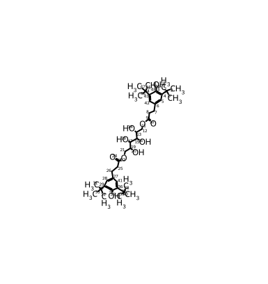 CC(C)(C)c1cc(CCC(=O)OCC(O)C(O)C(O)C(O)COC(=O)CCc2cc(C(C)(C)C)c(O)c(C(C)(C)C)c2)cc(C(C)(C)C)c1O